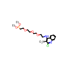 CCOP(CCOCCOCCOCCNc1c([N+](=O)[O-])c(Cl)nc2ccccc12)OCC